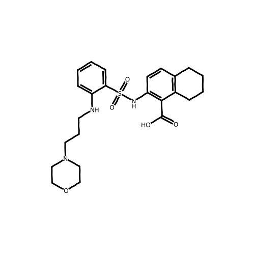 O=C(O)c1c(NS(=O)(=O)c2ccccc2NCCCN2CCOCC2)ccc2c1CCCC2